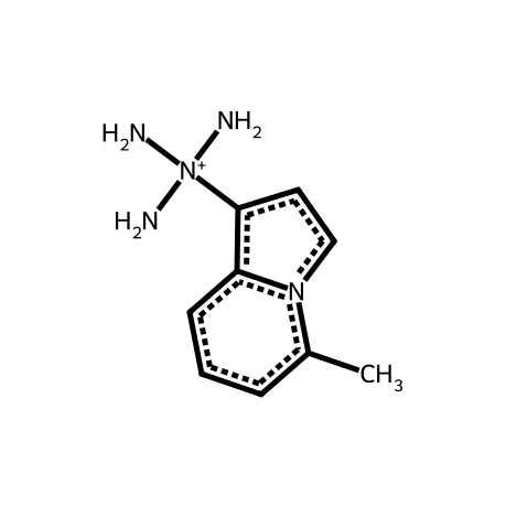 Cc1cccc2c([N+](N)(N)N)ccn12